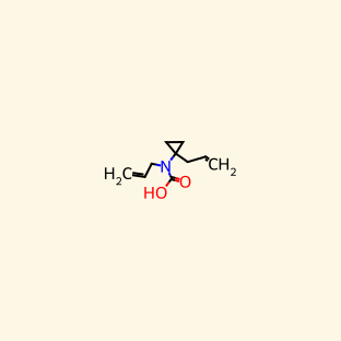 C=CCN(C(=O)O)C1(CC=C)CC1